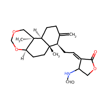 C=C1CC[C@@H]2[C@]3(C)COCO[C@@H]3CC[C@@]2(C)[C@@H]1C/C=C1/C(=O)OCC1NC=O